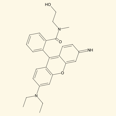 CCN(CC)c1ccc2c(-c3ccccc3C(=O)N(C)CCO)c3ccc(=N)cc-3oc2c1